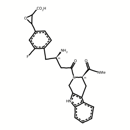 CNC(=O)[C@H]1Cc2c([nH]c3ccccc23)CN1C(=O)C[C@H](N)Cc1ccc(C2OC2C(=O)O)cc1F